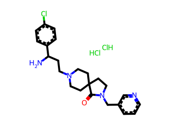 Cl.Cl.NC(CCN1CCC2(CC1)CCN(Cc1cccnc1)C2=O)c1ccc(Cl)cc1